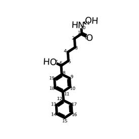 O=C(CCCCC(O)c1ccc(-c2ccccc2)cc1)NO